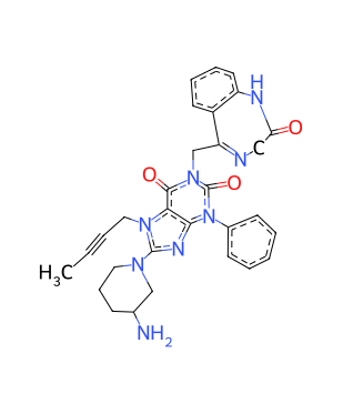 CC#CCn1c(N2CCCC(N)C2)nc2c1c(=O)n(CC1=NCC(=O)Nc3ccccc31)c(=O)n2-c1ccccc1